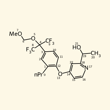 CCCc1cc(C(OCOC)(C(F)(F)F)C(F)(F)F)ccc1Oc1ccnc(C(C)O)c1